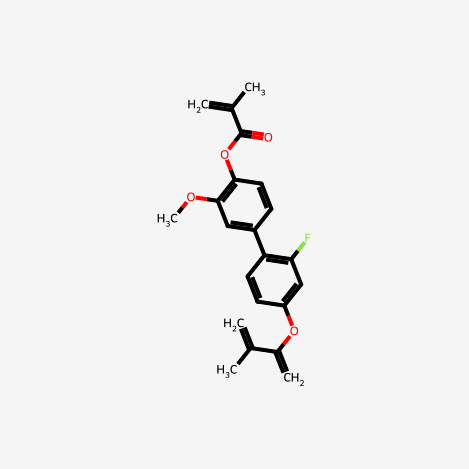 C=C(C)C(=C)Oc1ccc(-c2ccc(OC(=O)C(=C)C)c(OC)c2)c(F)c1